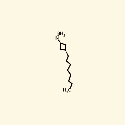 BN[C@H]1C[C@@H](CCCCCCCC)C1